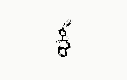 O=C1C(=Cc2ccncc2)Oc2cc(O)ccc21